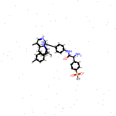 CCS(=O)(=O)c1ccc(C(N)C(=O)Nc2ccc(C3N=C4N=CC(C)=C5C=CC=CC45N3[C@@H](C)c3ccc(C)cc3)cc2)cc1